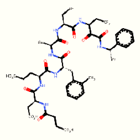 Cc1ccccc1C[C@H](NC(=O)[C@H](CCC(=O)O)NC(=O)[C@H](CC(=O)O)NC(=O)CCC(=O)O)C(=O)N[C@H](C(=O)N[C@@H](CC(C)C)C(=O)NC(CC(F)(F)F)C(=O)C(=O)N[C@H](c1ccccc1)C(C)C)C(C)(C)C